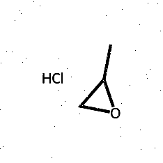 CC1CO1.Cl